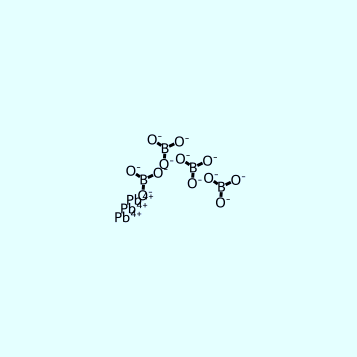 [O-]B([O-])[O-].[O-]B([O-])[O-].[O-]B([O-])[O-].[O-]B([O-])[O-].[Pb+4].[Pb+4].[Pb+4]